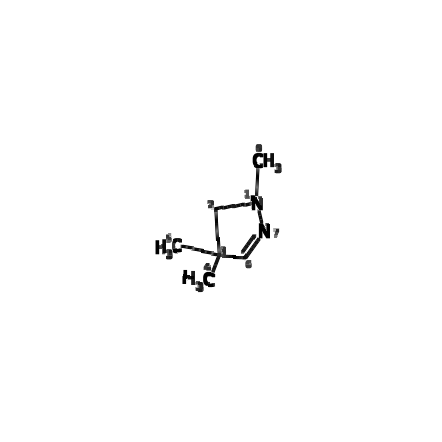 CN1CC(C)(C)C=N1